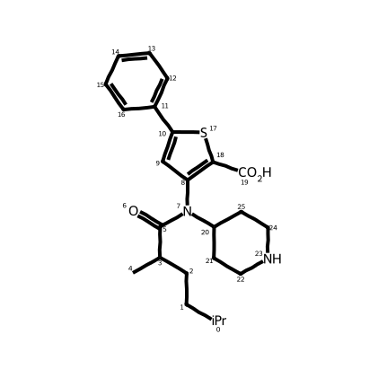 CC(C)CCC(C)C(=O)N(c1cc(-c2ccccc2)sc1C(=O)O)C1CCNCC1